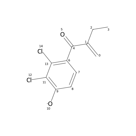 C=C(CC)C(=O)c1ccc([O])c(Cl)c1Cl